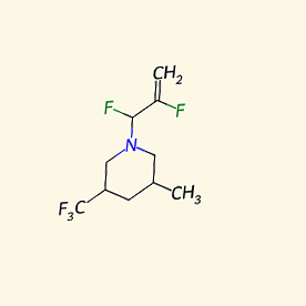 C=C(F)C(F)N1CC(C)CC(C(F)(F)F)C1